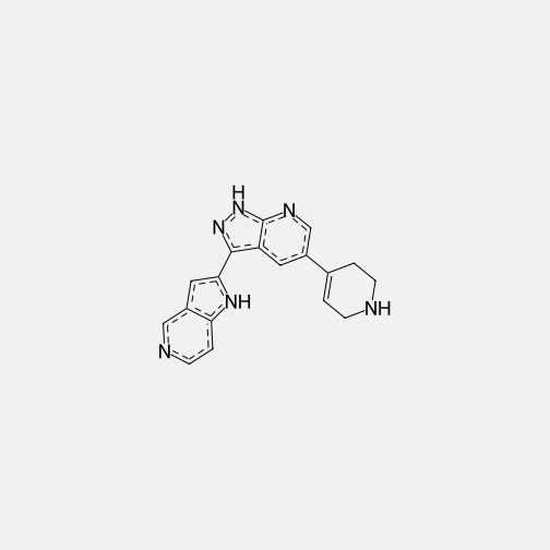 C1=C(c2cnc3[nH]nc(-c4cc5cnccc5[nH]4)c3c2)CCNC1